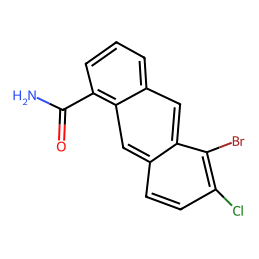 NC(=O)c1cccc2cc3c(Br)c(Cl)ccc3cc12